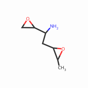 CC1OC1CC(N)C1CO1